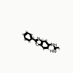 CC(=N)Nc1ccc2oc(-c3ccccc3)nc2c1